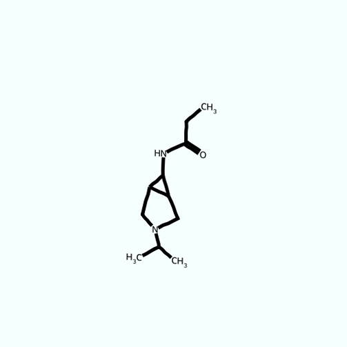 CCC(=O)NC1C2CN(C(C)C)CC21